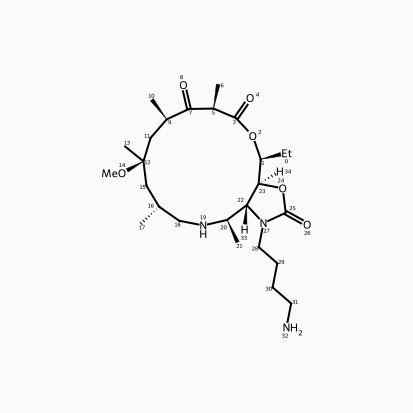 CC[C@@H]1OC(=O)[C@H](C)C(=O)[C@H](C)C[C@](C)(OC)C[C@@H](C)CN[C@H](C)[C@@H]2[C@@H]1OC(=O)N2CCCCN